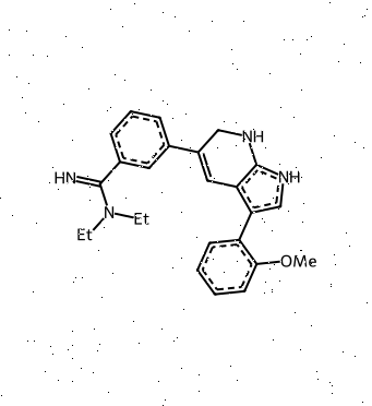 CCN(CC)C(=N)c1cccc(C2=Cc3c(-c4ccccc4OC)c[nH]c3NC2)c1